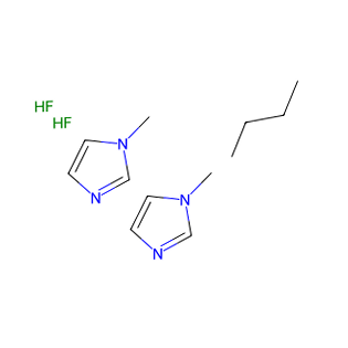 CCCC.Cn1ccnc1.Cn1ccnc1.F.F